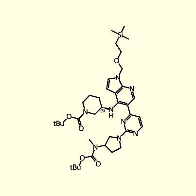 CN(C(=O)OC(C)(C)C)C1CCN(c2nccc(-c3cnc4c(ccn4COCC[Si](C)(C)C)c3N[C@@H]3CCCN(C(=O)OC(C)(C)C)C3)n2)C1